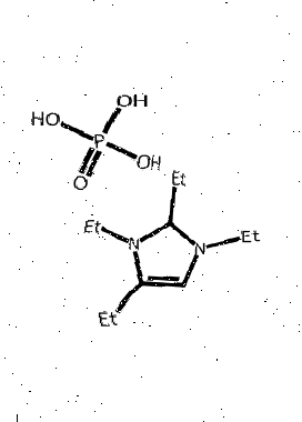 CCC1=CN(CC)C(CC)N1CC.O=P(O)(O)O